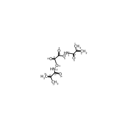 C=C(C)C(=O)NOC(=O)C(=O)ONC(=O)C(=C)C